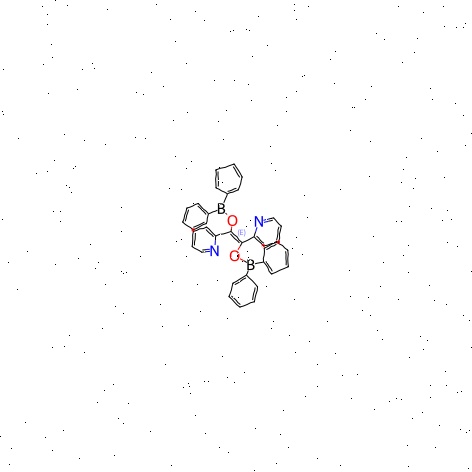 c1ccc(B(O/C(=C(/OB(c2ccccc2)c2ccccc2)c2ccccn2)c2ccccn2)c2ccccc2)cc1